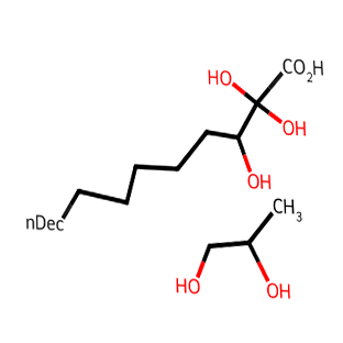 CC(O)CO.CCCCCCCCCCCCCCCC(O)C(O)(O)C(=O)O